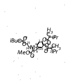 COC(=O)[C@H](Cc1ccc(OC(=O)C(C)C(C)C)c(OC(=O)C(C)C(C)C)c1)NCCOC(=O)OCC(C)C